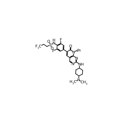 CC(C)n1c(=O)c(-c2cc(F)c(NS(=O)(=O)CCC(F)(F)F)c(F)c2)cc2cnc(NC3CCC(N(C)C)CC3)nc21